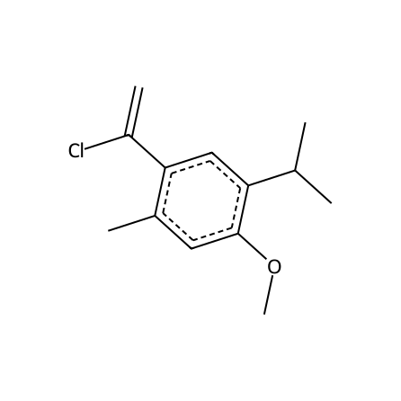 C=C(Cl)c1cc(C(C)C)c(OC)cc1C